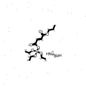 CCCOC(=O)/C=C/C(=O)O[Si](OCC)(OCC)OCC.[NaH].[NaH]